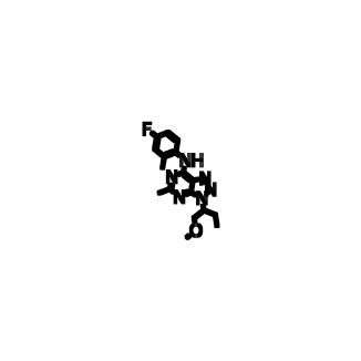 CCC(COC)n1nnc2c(Nc3ccc(F)cc3C)nc(C)nc21